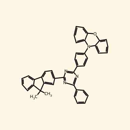 CC1(C)c2ccccc2-c2ccc(-c3nc(-c4ccccc4)nc(-c4ccc(N5c6ccccc6Oc6ccccc65)cc4)n3)cc21